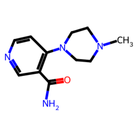 CN1CCN(c2ccncc2C(N)=O)CC1